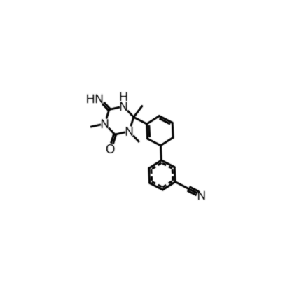 CN1C(=N)NC(C)(C2=CC(c3cccc(C#N)c3)CC=C2)N(C)C1=O